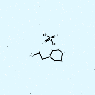 O=S(=O)(O)O.OCCN1CCOCC1